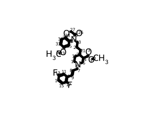 COC(=O)C1CN(CC=Cc2cc(F)ccc2F)CCC1CCCN1C(=O)COc2ccc(OC)cc21